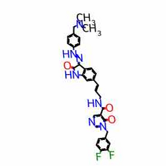 CN(C)Cc1ccc(NN=C2C(=O)Nc3cc(C=CCNC(=O)c4cncn(Cc5ccc(F)c(F)c5)c4=O)ccc32)cc1